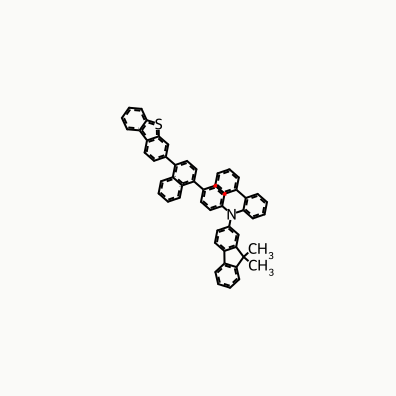 CC1(C)c2ccccc2-c2ccc(N(c3ccc(-c4ccc(-c5ccc6c(c5)sc5ccccc56)c5ccccc45)cc3)c3ccccc3-c3ccccc3)cc21